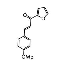 COc1ccc(C=CC(=O)c2ccco2)cc1